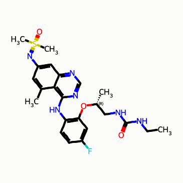 CCNC(=O)NC[C@@H](C)Oc1cc(F)ccc1Nc1ncnc2cc(N=S(C)(C)=O)cc(C)c12